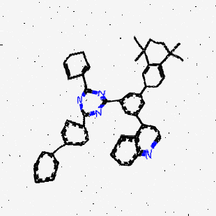 CC1(C)CCC(C)(C)C2=CC(c3cc(-c4nc(C5=CCCC=C5)nc(-c5ccc(-c6ccccc6)cc5)n4)cc(-c4ccnc5ccccc45)c3)CC=C21